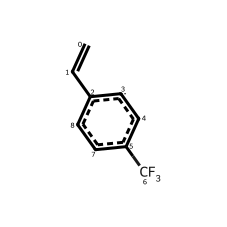 C=Cc1[c]cc(C(F)(F)F)cc1